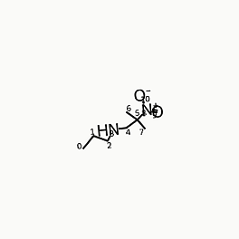 CCCNCC(C)(C)[N+](=O)[O-]